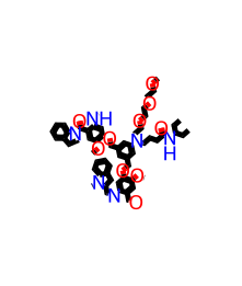 CCC(CC)NC(=O)CCCN(CCOCCOCCOC)c1cc(COc2cc(/N=C\C3Cc4ccccc4N3C)c(C=O)cc2OC)cc(COc2cc(NC)c(C(=O)N3CCc4ccccc43)cc2OC)c1